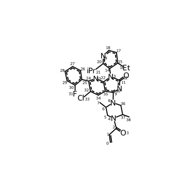 C=CC(=O)N1CC(C)N(c2nc(=O)n(-c3c(CC)ccnc3C(C)C)c3nc(-c4ccccc4F)c(Cl)cc23)CC1C